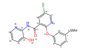 CSc1cccc(Oc2ncc(F)cc2C(=O)Nc2ncccc2O)c1